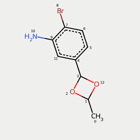 CC1OC(c2ccc(Br)c(N)c2)O1